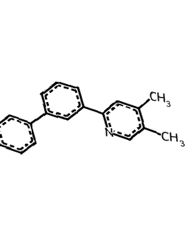 Cc1cnc(-c2cccc(-c3ccccc3)c2)cc1C